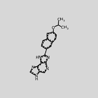 CC(C)Oc1ccc2cc(-c3nc4ncc5[nH]cnc5c4[nH]3)ccc2c1